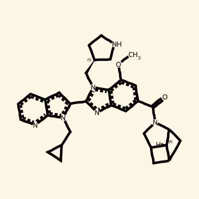 COc1cc(C(=O)N2CC3CC4CC2[C@H]43)cc2nc(-c3cc4cccnc4n3CC3CC3)n(C[C@H]3CCNC3)c12